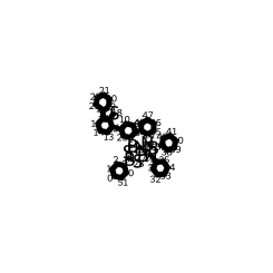 c1ccc(B2SB(c3cccc(-c4cccc5c4sc4ccccc45)c3)N3B(S2)N(c2ccccc2)B(c2ccccc2)N3c2ccccc2)cc1